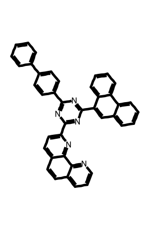 c1ccc(-c2ccc(-c3nc(-c4ccc5ccc6cccnc6c5n4)nc(-c4cc5ccccc5c5ccccc45)n3)cc2)cc1